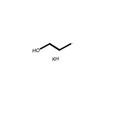 [CH2]CCO.[KH]